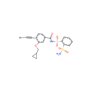 CC(C)C#Cc1ccc(C(=O)NS(=O)(=O)c2ccccc2S(N)(=O)=O)cc1OCC1CC1